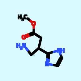 COC(=O)CC(CN)c1ncc[nH]1